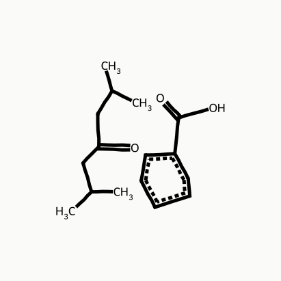 CC(C)CC(=O)CC(C)C.O=C(O)c1ccccc1